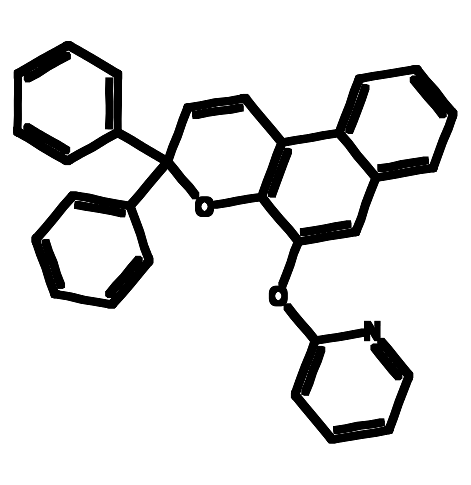 C1=CC(c2ccccc2)(c2ccccc2)Oc2c(Oc3ccccn3)cc3ccccc3c21